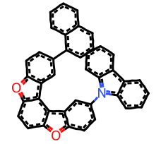 c1ccc2c(-c3ccc4oc5ccc6oc7ccc(-n8c9ccccc9c9ccccc98)cc7c6c5c4c3)cccc2c1